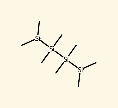 C[Si](C)[Si](C)(C)[Si](C)(C)[Si](C)C